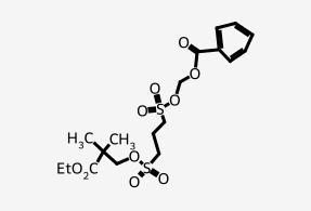 CCOC(=O)C(C)(C)COS(=O)(=O)CCCS(=O)(=O)OCOC(=O)c1ccccc1